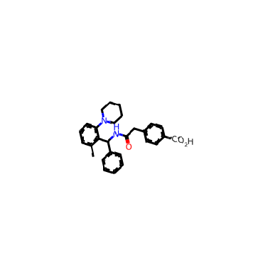 Cc1cccc(N2CCCCC2)c1C(NC(=O)Cc1ccc(C(=O)O)cc1)c1ccccc1